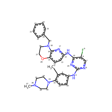 Cc1cc(Nc2ncc(F)c(Nc3ccc4c(n3)N(Cc3ccccc3)CCO4)n2)ccc1N1CCN(C)CC1